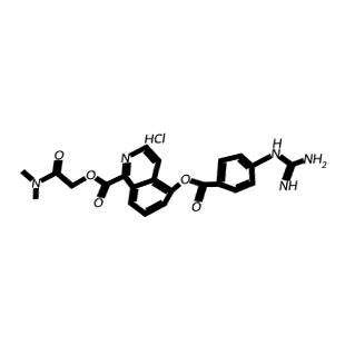 CN(C)C(=O)COC(=O)c1nccc2c(OC(=O)c3ccc(NC(=N)N)cc3)cccc12.Cl